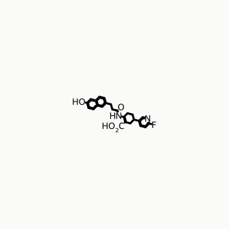 O=C(CCc1ccc2cc(O)ccc2c1)NC1=C(C(=O)O)CC(c2ccc(F)nc2)CC1